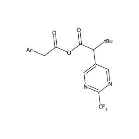 CC(=O)CC(=O)OC(=O)C(c1cnc(C(F)(F)F)nc1)C(C)(C)C